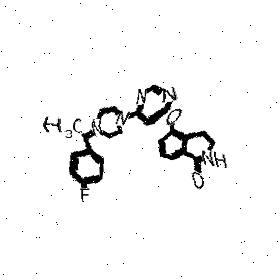 C[C@H](c1ccc(F)cc1)N1CCN(c2cc(Oc3cccc4c3CCNC4=O)ncn2)CC1